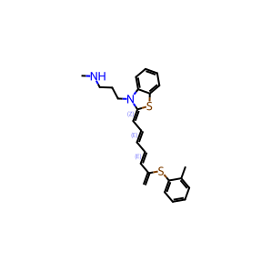 C=C(/C=C/C=C/C=C1\Sc2ccccc2N1CCCNC)Sc1ccccc1C